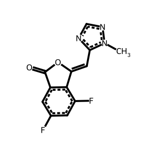 Cn1ncnc1C=C1OC(=O)c2cc(F)cc(F)c21